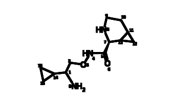 NC(CONC(=O)[C@H]1NCCC2CC21)C1CC1